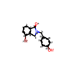 O=C1c2cccc(Br)c2CN1Cc1ccc(O)cc1